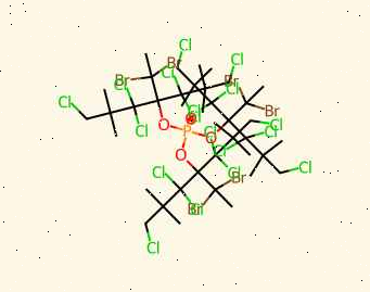 CC(Br)(Br)C(OP(=O)(OC(C(C)(Br)Br)(C(Cl)(Cl)C(C)(C)CCl)C(Cl)(Cl)C(C)(C)CCl)OC(C(C)(Br)Br)(C(Cl)(Cl)C(C)(C)CCl)C(Cl)(Cl)C(C)(C)CCl)(C(Cl)(Cl)C(C)(C)CCl)C(Cl)(Cl)C(C)(C)CCl